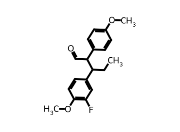 CCC(c1ccc(OC)c(F)c1)C(C=O)c1ccc(OC)cc1